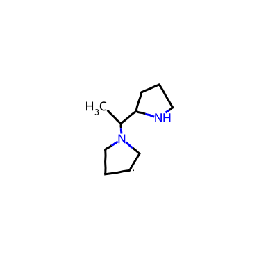 CC(C1CCCN1)N1C[CH]CC1